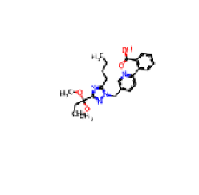 CCCCc1nc(C(CC)(OC)OC)nn1Cc1ccc(-c2ccccc2C(=O)O)nc1